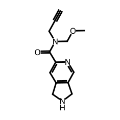 C#CCN(COC)C(=O)c1cc2c(cn1)CNC2